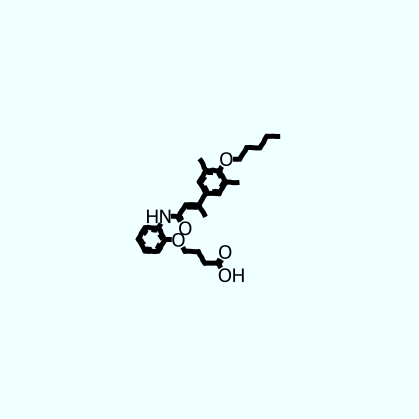 CCCCCOc1c(C)cc(/C(C)=C/C(=O)Nc2ccccc2OCCCC(=O)O)cc1C